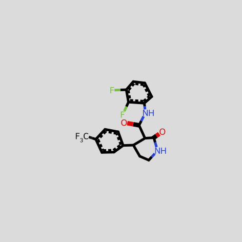 O=C1NCCC(c2ccc(C(F)(F)F)cc2)C1C(=O)Nc1cccc(F)c1F